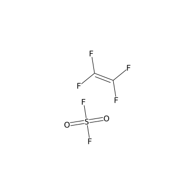 FC(F)=C(F)F.O=S(=O)(F)F